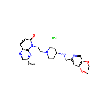 COc1cnc2ccc(=O)n(CCN3CCC(NCc4cc5c(cn4)OCCO5)CC3)c2n1.Cl